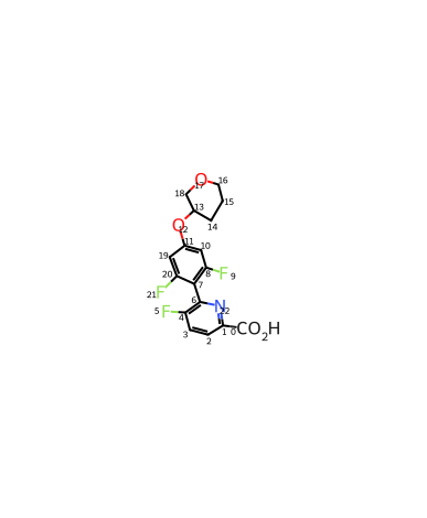 O=C(O)c1ccc(F)c(-c2c(F)cc(OC3CCCOC3)cc2F)n1